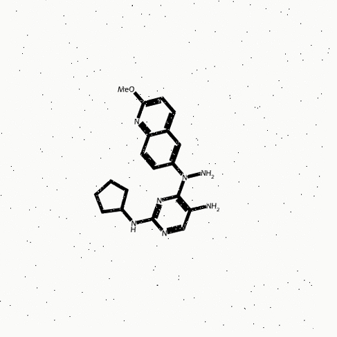 COc1ccc2cc(N(N)c3nc(NC4CCCC4)ncc3N)ccc2n1